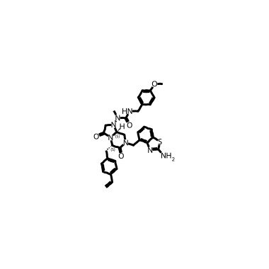 C=Cc1ccc(C[C@H]2C(=O)N(Cc3cccc4sc(N)nc34)C[C@H]3N2C(=O)CN3N(C)C(=O)NCc2ccc(OC)cc2)cc1